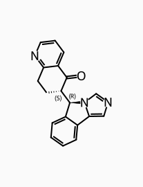 O=C1c2cccnc2CC[C@H]1[C@@H]1c2ccccc2-c2cncn21